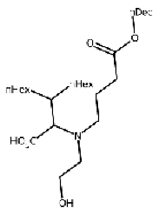 CCCCCCCCCCOC(=O)CCCN(CCO)C(C(=O)O)C(CCCCCC)CCCCCC